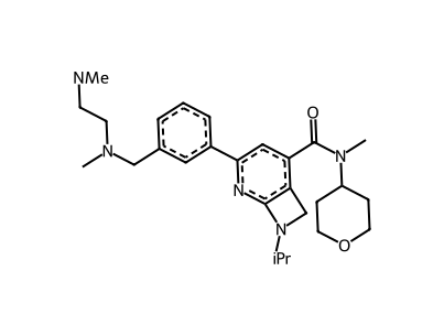 CNCCN(C)Cc1cccc(-c2cc(C(=O)N(C)C3CCOCC3)c3c(n2)N(C(C)C)C3)c1